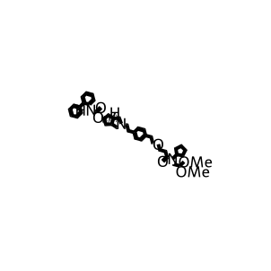 COC(CN(C(=O)CCOCCc1ccc(CCN2CC3C[C@@H](OC(=O)Nc4ccccc4-c4ccccc4)C[C@@H]3C2)cc1)C1CCCC1)OC